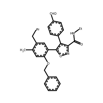 CCNC(=O)c1noc(-c2cc(CC(C)C)c(C)cc2OCc2ccccc2)c1-c1ccc(C=O)cc1